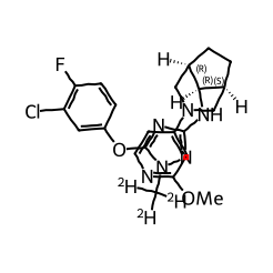 [2H]C([2H])([2H])n1nc(N[C@H]2[C@@H]3CC[C@H]2CN(c2ccnc(OC)c2)C3)nc1Oc1ccc(F)c(Cl)c1